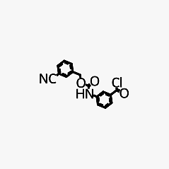 N#Cc1cccc(COC(=O)Nc2cccc(C(=O)Cl)c2)c1